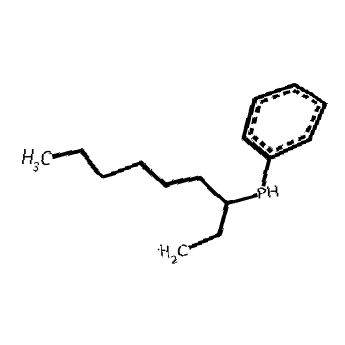 [CH2]CC(CCCCCC)Pc1ccccc1